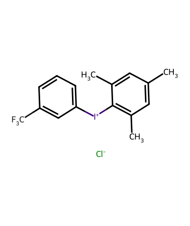 Cc1cc(C)c([I+]c2cccc(C(F)(F)F)c2)c(C)c1.[Cl-]